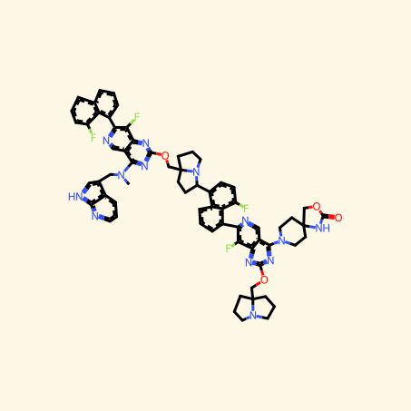 CN(Cc1c[nH]c2ncccc12)c1nc(OCC23CCCN2C(c2ccc(F)c4c(-c5ncc6c(N7CCC8(CC7)COC(=O)N8)nc(OCC78CCCN7CCC8)nc6c5F)cccc24)CC3)nc2c(F)c(-c3cccc4cccc(F)c34)ncc12